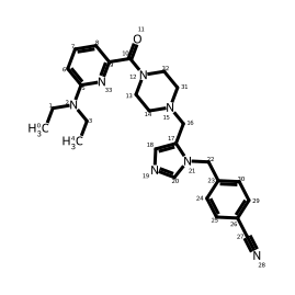 CCN(CC)c1cccc(C(=O)N2CCN(Cc3cncn3Cc3ccc(C#N)cc3)CC2)n1